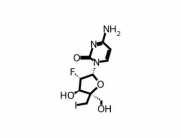 Nc1ccn([C@@H]2O[C@@](CO)(CI)[C@@H](O)[C@@H]2F)c(=O)n1